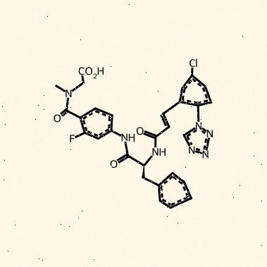 CN(CC(=O)O)C(=O)c1ccc(NC(=O)[C@H](Cc2ccccc2)NC(=O)C=Cc2cc(Cl)ccc2-n2cnnn2)cc1F